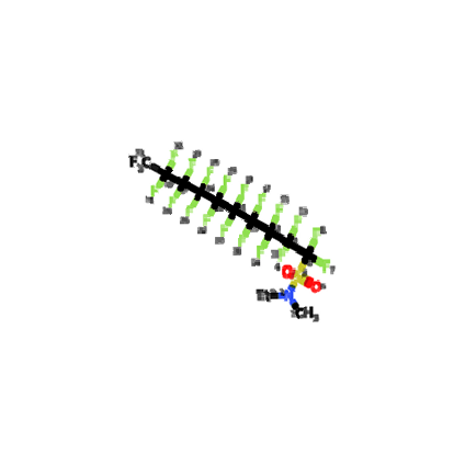 [CH2]CN(C)S(=O)(=O)C(F)(F)C(F)(F)C(F)(F)C(F)(F)C(F)(F)C(F)(F)C(F)(F)C(F)(F)C(F)(F)C(F)(F)F